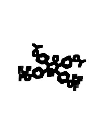 CC(C)Oc1ccc(C(C(=O)C(c2ccc(OC(C)C)cc2)C(Br)c2ccc(OC(F)(F)F)cc2)C(Br)c2ccc(OC(F)(F)F)cc2)cc1